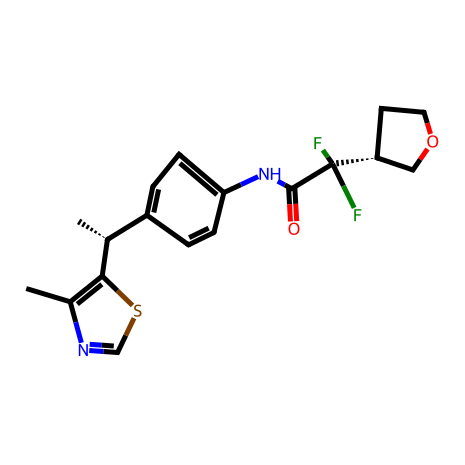 Cc1ncsc1[C@H](C)c1ccc(NC(=O)C(F)(F)[C@@H]2CCOC2)cc1